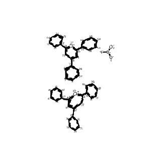 [O-]B([O-])F.c1ccc(-c2cc(-c3ccccc3)[o+]c(-c3ccccc3)c2)cc1.c1ccc(-c2cc(-c3ccccc3)[o+]c(-c3ccccc3)c2)cc1